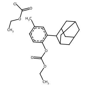 CCOC(=O)Cl.CCOC(=O)Oc1ccc(C)cc1C1C2CC3CC(C2)CC1C3